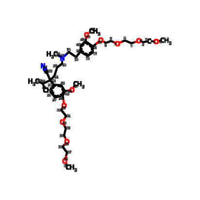 COCCOCCOCCOc1ccc(CCN(C)CCCC(C#N)(c2ccc(OCCOCCOCCOC)c(OC)c2)C(C)C)cc1OC